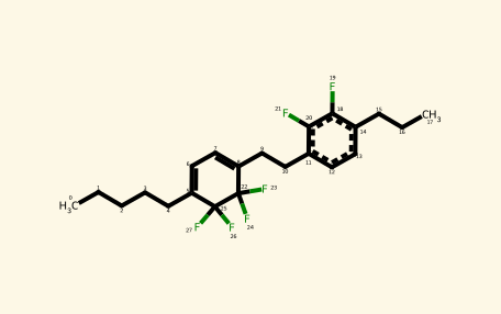 CCCCCC1=CC=C(CCc2ccc(CCC)c(F)c2F)C(F)(F)C1(F)F